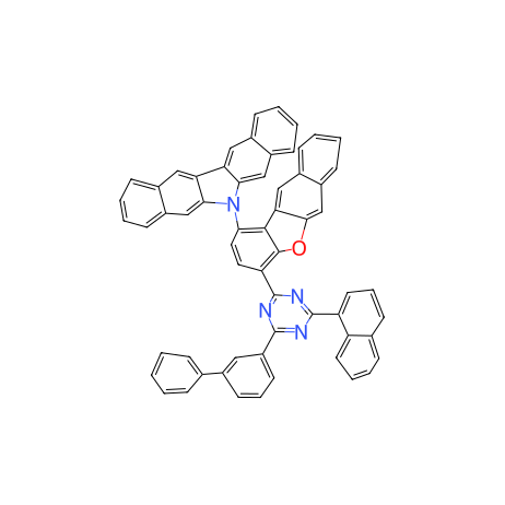 c1ccc(-c2cccc(-c3nc(-c4cccc5ccccc45)nc(-c4ccc(-n5c6cc7ccccc7cc6c6cc7ccccc7cc65)c5c4oc4cc6ccccc6cc45)n3)c2)cc1